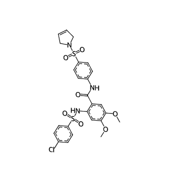 COc1cc(NS(=O)(=O)c2ccc(Cl)cc2)c(C(=O)Nc2ccc(S(=O)(=O)N3CC=CC3)cc2)cc1OC